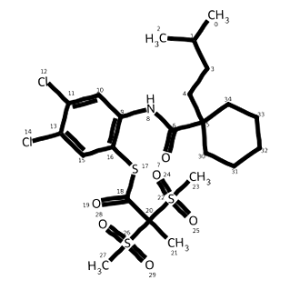 CC(C)CCC1(C(=O)Nc2cc(Cl)c(Cl)cc2SC(=O)C(C)(S(C)(=O)=O)S(C)(=O)=O)CCCCC1